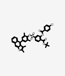 Cc1cc(-c2c3ccccc3cc3sc(C)c(C)c23)cc(C)c1OS(=O)(=O)c1ccc(C(=O)OC(C)(C)C)c(OC(=O)c2ccc(Cl)cc2)c1